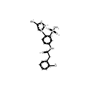 CC(C)(C)c1cn(-c2ccc(NC(=O)Cc3ccccc3Cl)cc2S(N)(=O)=O)nn1